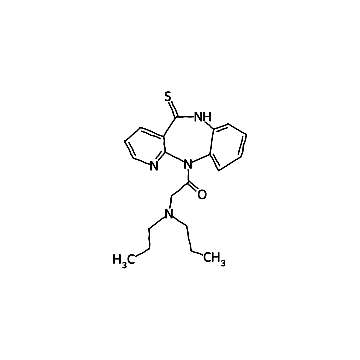 CCCN(CCC)CC(=O)N1c2ccccc2NC(=S)c2cccnc21